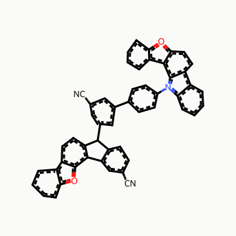 N#Cc1cc(-c2ccc(-n3c4ccccc4c4ccc5oc6ccccc6c5c43)cc2)cc(C2c3ccc(C#N)cc3-c3c2ccc2c3oc3ccccc32)c1